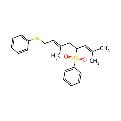 CC(C)=CC(C/C(C)=C/CSc1ccccc1)S(=O)(=O)c1ccccc1